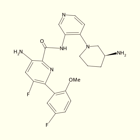 COc1ccc(F)cc1-c1nc(C(=O)Nc2cnccc2N2CCC[C@H](N)C2)c(N)cc1F